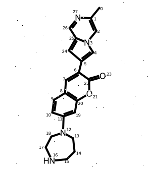 Cc1cn2cc(-c3cc4ccc(N5CCCNCC5)cc4oc3=O)cc2cn1